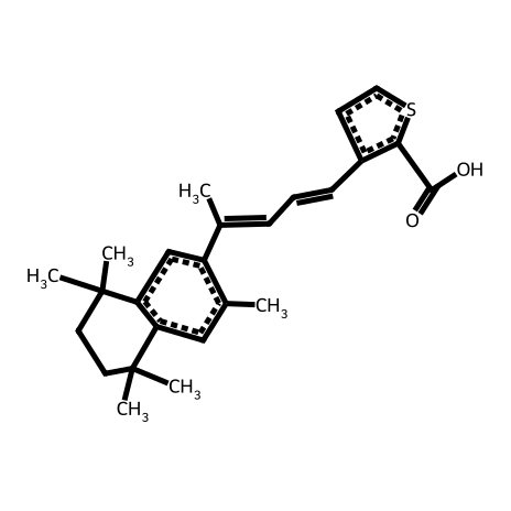 CC(=C/C=C/c1ccsc1C(=O)O)c1cc2c(cc1C)C(C)(C)CCC2(C)C